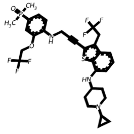 CP(C)(=O)c1ccc(NCC#Cc2sc3c(NC4CCN(C5CC5)CC4)cccc3c2CC(F)(F)F)c(OCC(F)(F)F)c1